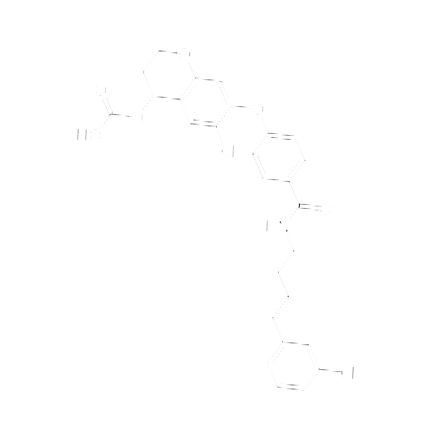 O=C(O)OC1CCOc2cc(Oc3ccc(C(=O)NCCCCc4cccc(Cl)c4)cc3)c(Cl)cc21